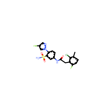 Cc1ccc(F)c(CC(=O)Nc2ccc(-n3cc(F)cn3)c(S(N)(=O)=O)c2)c1Cl